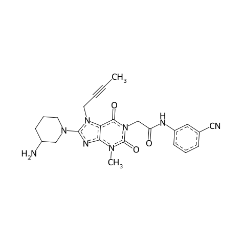 CC#CCn1c(N2CCCC(N)C2)nc2c1c(=O)n(CC(=O)Nc1cccc(C#N)c1)c(=O)n2C